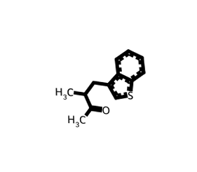 CC(=O)C(C)Cc1csc2ccccc12